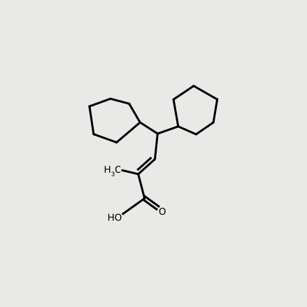 CC(=CC(C1CCCCC1)C1CCCCC1)C(=O)O